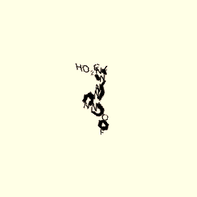 C[C@H]1CN(Cc2ccn(-c3cccnc3N3CCC(Oc4ccc(F)cc4)CC3)n2)CCN1C(=O)O